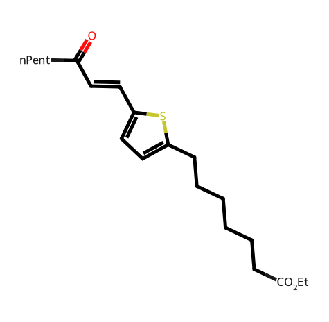 CCCCCC(=O)/C=C/c1ccc(CCCCCCC(=O)OCC)s1